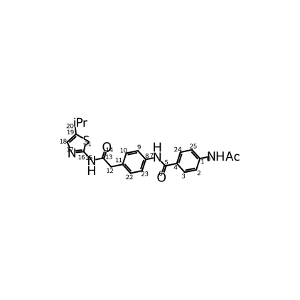 CC(=O)Nc1ccc(C(=O)Nc2ccc(CC(=O)Nc3ncc(C(C)C)s3)cc2)cc1